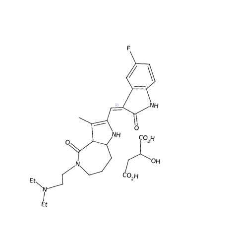 CCN(CC)CCN1CCCC2NC(/C=C3\C(=O)Nc4ccc(F)cc43)=C(C)C2C1=O.O=C(O)CC(O)C(=O)O